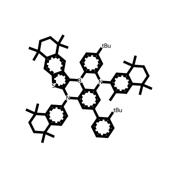 Cc1cc2c(cc1N1c3cc(C(C)(C)C)ccc3B3c4c1cc(-c1ccccc1C(C)(C)C)cc4N(c1ccc4c(c1)C(C)(C)CCC4(C)C)c1sc4cc5c(cc4c13)C(C)(C)CCC5(C)C)C(C)(C)CCC2(C)C